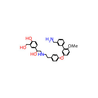 COc1ccc(Oc2ccc(CCNCC(O)c3ccc(O)c(CO)c3)cc2)cc1-c1cccc(CN)c1